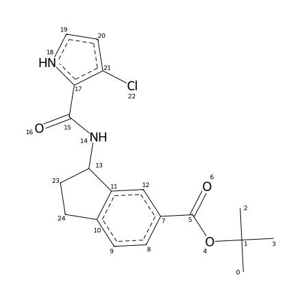 CC(C)(C)OC(=O)c1ccc2c(c1)C(NC(=O)c1[nH]ccc1Cl)CC2